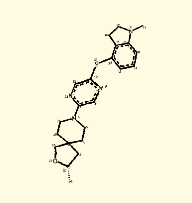 C[C@H]1CC2(CCN(c3cnc(Sc4cccc5c4CCN5C)cn3)CC2)CO1